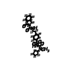 CN(C(=O)NS(=O)(=O)c1ccc(CCNC(=O)N2Cc3ccccc3C2=O)cc1)C1CCCC1